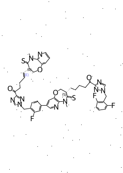 CN1C(=S)[C@@H](CCCCC(=O)c2ncn(Cc3c(F)cccc3F)n2)COc2cc(-c3ccc(Cn4cnc(C(=O)CC/C=C/[C@H]5COc6cccnc6N(C)C5=S)n4)c(F)c3)cnc21